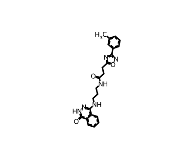 Cc1cccc(-c2noc(CCC(=O)NCCCNc3n[nH]c(=O)c4ccccc34)n2)c1